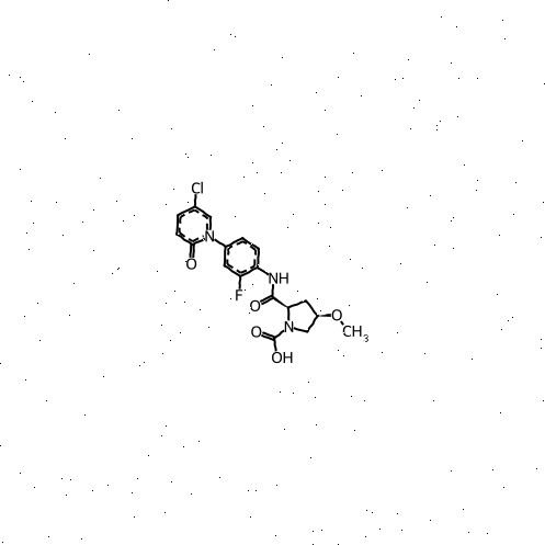 CO[C@@H]1C[C@H](C(=O)Nc2ccc(-n3cc(Cl)ccc3=O)cc2F)N(C(=O)O)C1